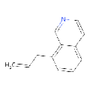 C=CCc1cccc2ccncc12